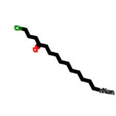 CCCCCCCCCCCCCCCCCCCC(=O)CCCCl